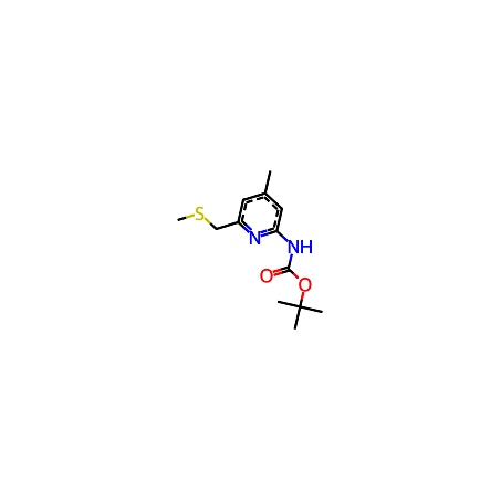 CSCc1cc(C)cc(NC(=O)OC(C)(C)C)n1